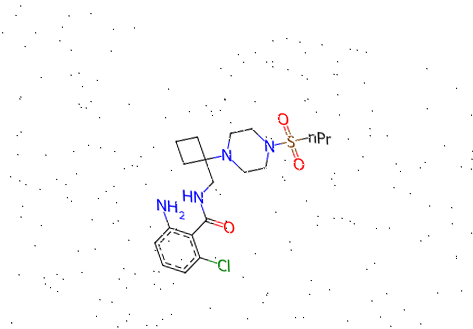 CCCS(=O)(=O)N1CCN(C2(CNC(=O)c3c(N)cccc3Cl)CCC2)CC1